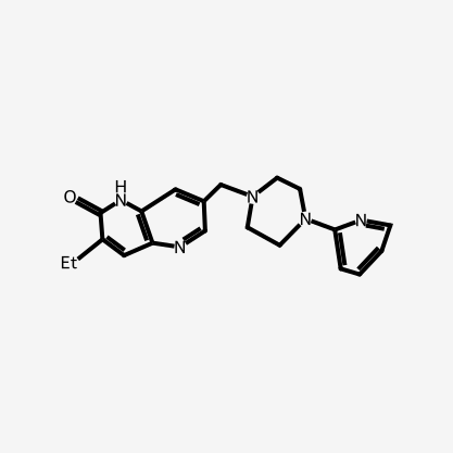 CCc1cc2ncc(CN3CCN(c4ccccn4)CC3)cc2[nH]c1=O